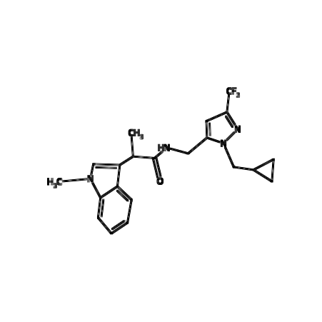 CC(C(=O)NCc1cc(C(F)(F)F)nn1CC1CC1)c1cn(C)c2ccccc12